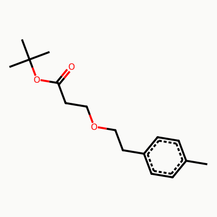 Cc1ccc(CCOCCC(=O)OC(C)(C)C)cc1